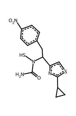 NC(=O)N(S)C(Cc1ccc([N+](=O)[O-])cc1)c1csc(C2CC2)n1